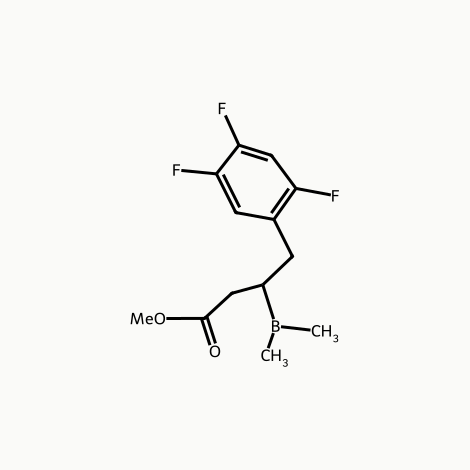 COC(=O)CC(Cc1cc(F)c(F)cc1F)B(C)C